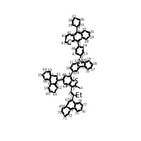 CC/C(=C\c1c(C)sc2c(-c3ccc4c(c3)c3ccccc3n4-c3ccc(-c4c5ccccc5c(-c5ccccc5)c5ccccc45)cc3)cc(-c3cc4ccccc4c4ccccc34)cc12)c1cc2ccccc2c2ccccc12